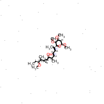 CC[C@H](OC)[C@@H](C)[C@@H]1C[C@H]1[C@H](O)[C@@H](C)/C=C/C=C(\C)[C@H]1O[C@@H](OC)C[C@H](OC)[C@H]1OC